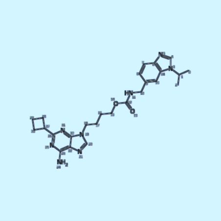 CC(C)n1cnc2ccc(CNC(=O)OCCCCn3cnc4c(N)nc(C5CCC5)nc43)cc21